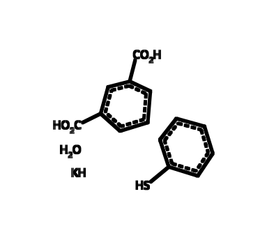 O.O=C(O)c1cccc(C(=O)O)c1.Sc1ccccc1.[KH]